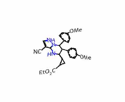 CCOC(=O)C1CC1C1NC2C(C#N)=CNN2C(c2ccc(OC)cc2)C1c1ccc(OC)cc1